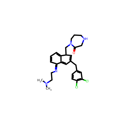 CN(C)CCN=C1C=CC=C2C1=CC(Cc1ccc(Cl)c(Cl)c1)=CC2CN1CCCNCC1=O